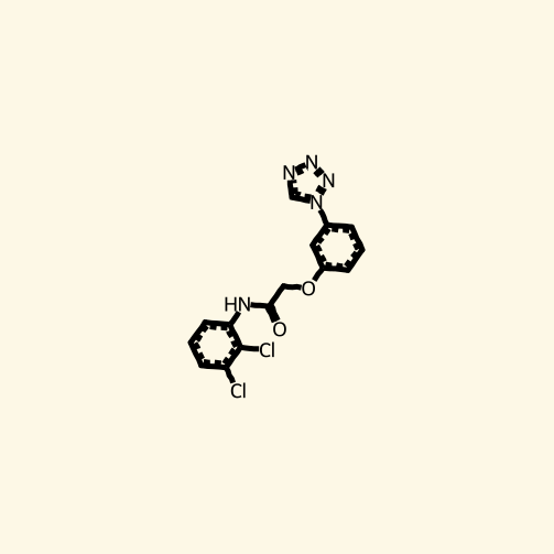 O=C(COc1cccc(-n2cnnn2)c1)Nc1cccc(Cl)c1Cl